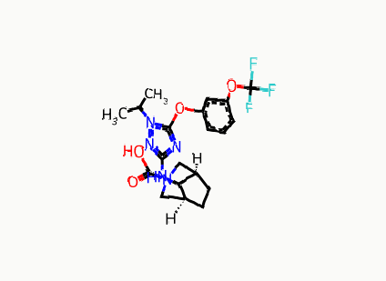 CC(C)n1nc(NC2[C@@H]3CC[C@H]2CN(C(=O)O)C3)nc1Oc1cccc(OC(F)(F)F)c1